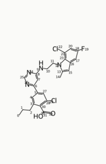 CCCc1cc(-c2cc(NCCn3c(C)cc4cc(F)cc(Cl)c43)ncn2)cc(Cl)c1C(=O)O